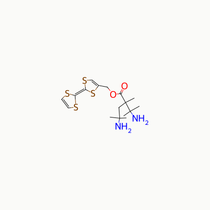 CC(C)(N)CC(C)(C(=O)OCC1=CSC(=C2SC=CS2)S1)C(C)(C)N